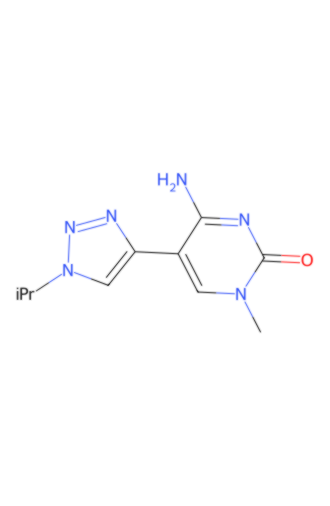 CC(C)n1cc(-c2cn(C)c(=O)nc2N)nn1